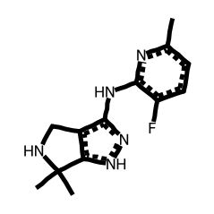 Cc1ccc(F)c(Nc2n[nH]c3c2CNC3(C)C)n1